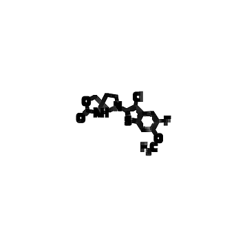 O=C1NC2(CCN(c3sc4cc(OC(F)(F)F)c(F)cc4c3Cl)C2)CO1